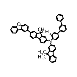 CC1(C)c2ccccc2-c2ccc(N(c3ccc(-c4cccc(-c5ccccc5)c4)cc3)c3ccc4c(c3)C(C)(C)c3cc(-c5ccc6oc7ccccc7c6c5)ccc3-4)cc21